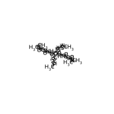 Cc1ccc(-c2ccc(-c3cc(OCCNC(=O)COCC(=O)N(C)C)c(-c4ccc(-c5ccc(C)s5)s4)cc3OCCNC(=O)COCC(=O)N(C)C)s2)s1